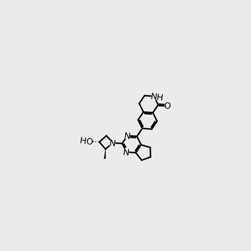 C[C@H]1[C@H](O)CN1c1nc2c(c(-c3ccc4c(c3)CCNC4=O)n1)CCC2